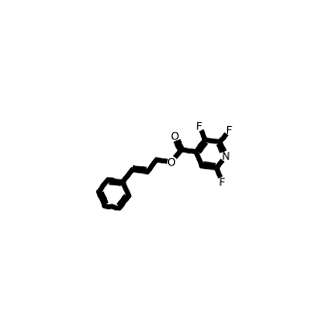 O=C(OC/C=C/c1ccccc1)c1cc(F)nc(F)c1F